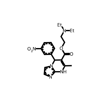 CCN(CC)CCOC(=O)C1=C(C)Nc2nccn2C1c1cccc([N+](=O)[O-])c1